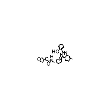 Cc1ccc2c(N3CC[C@@H](CNC(=O)O[C@H]4CCOC4)C3)nc(-c3ccccc3O)nc2c1